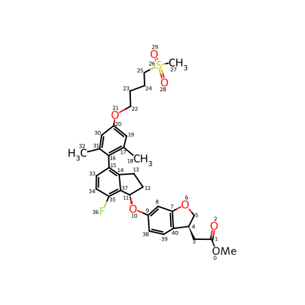 COC(=O)C[C@@H]1COc2cc(O[C@@H]3CCc4c(-c5c(C)cc(OCCCCS(C)(=O)=O)cc5C)ccc(F)c43)ccc21